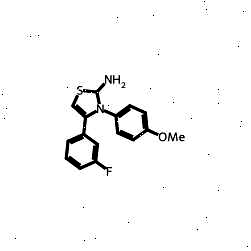 COc1ccc(N2C(c3cccc(F)c3)=CSC2N)cc1